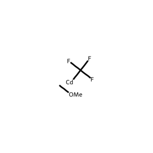 COC.F[C](F)(F)[Cd]